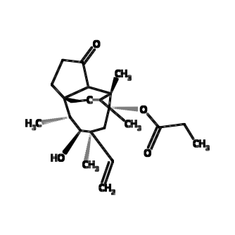 C=C[C@]1(C)C[C@@H](OC(=O)CC)[C@]2(C)C(C)CC[C@]3(CCC(=O)C32)[C@@H](C)[C@@H]1O